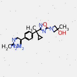 C=C(N)/N=C\C(=C/N)c1ccc(C(C)(c2noc(N3CC(C)(O)C3)n2)C2CC2)cc1